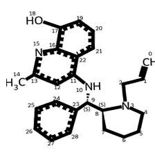 C=CCN1CCCC[C@H]1[C@@H](Nc1cc(C)nc2c(O)cccc12)c1ccccc1